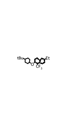 CCc1ccc2c(C(F)(F)F)c(OC3CCC(C(C)(C)C)CC3)ccc2c1